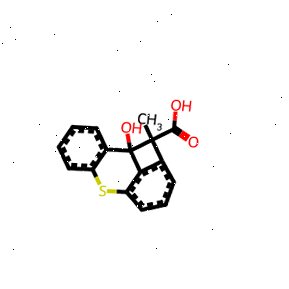 CC1(C(=O)O)c2cccc3c2C1(O)c1ccccc1S3